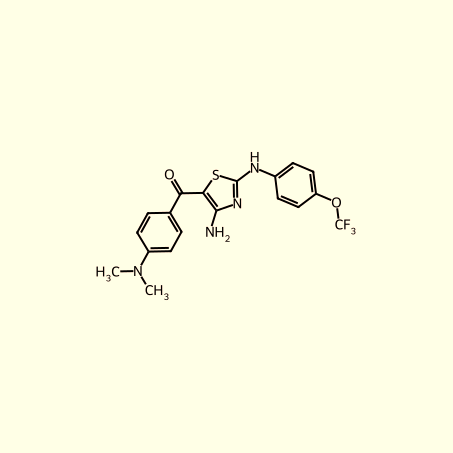 CN(C)c1ccc(C(=O)c2sc(Nc3ccc(OC(F)(F)F)cc3)nc2N)cc1